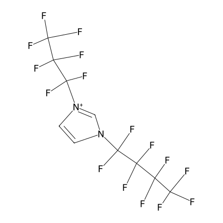 FC(F)(F)C(F)(F)C(F)(F)[n+]1ccn(C(F)(F)C(F)(F)C(F)(F)C(F)(F)F)c1